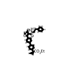 CCOC(=O)C1(c2ccc(-c3ccc(-c4onc(C)c4C(=O)NCCc4ccccc4)cc3)cc2)CC1